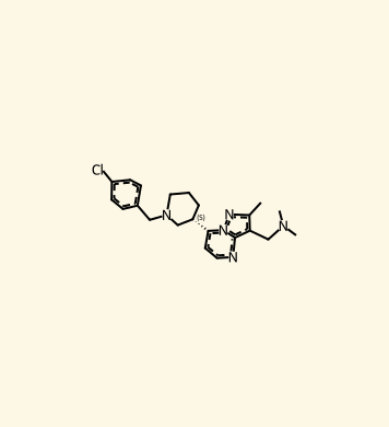 Cc1nn2c([C@H]3CCCN(Cc4ccc(Cl)cc4)C3)ccnc2c1CN(C)C